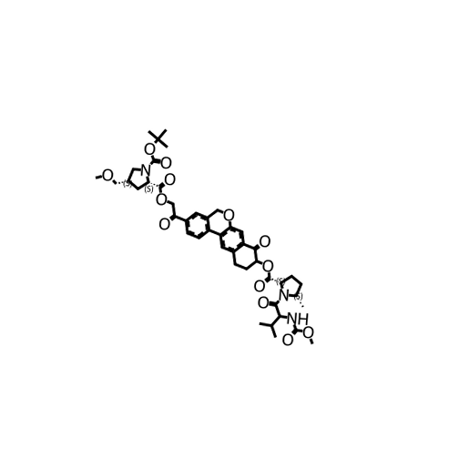 COC[C@H]1C[C@@H](C(=O)OCC(=O)c2ccc3c(c2)COc2cc4c(cc2-3)CCC(OC(=O)[C@@H]2CC[C@H](C)N2C(=O)C(NC(=O)OC)C(C)C)C4=O)N(C(=O)OC(C)(C)C)C1